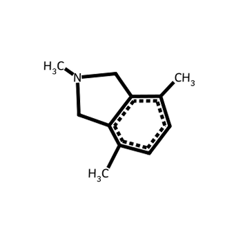 Cc1ccc(C)c2c1CN(C)C2